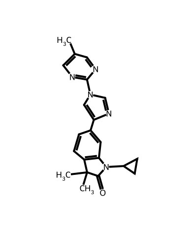 Cc1cnc(-n2cnc(-c3ccc4c(c3)N(C3CC3)C(=O)C4(C)C)c2)nc1